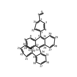 C=Cc1ccc(-c2c3ccccc3c(-c3ccccc3-c3ccccc3)c3ccccc23)cc1